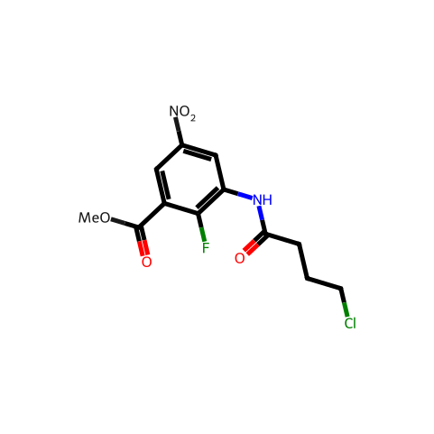 COC(=O)c1cc([N+](=O)[O-])cc(NC(=O)CCCCl)c1F